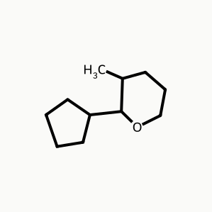 CC1CCCOC1C1CCCC1